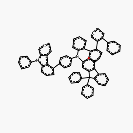 c1ccc(-c2ccccc2-c2ccccc2-c2ccccc2N(c2ccc(-c3cccc4c3c3ccccc3n4-c3ccccc3)cc2)c2ccc3c(c2)C(c2ccccc2)(c2ccccc2)c2ccccc2-3)cc1